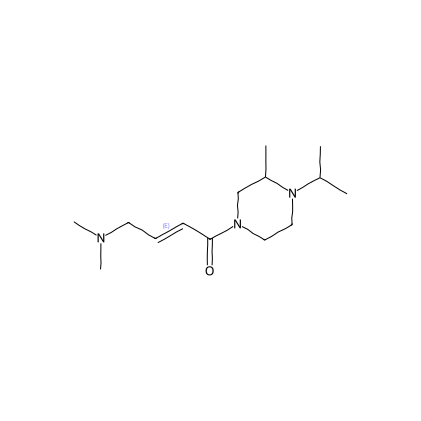 CC(C)N1CCN(C(=O)/C=C/CN(C)C)CC1C